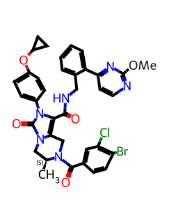 COc1nccc(-c2ccccc2CNC(=O)c2c3n(c(=O)n2-c2ccc(OC4CC4)cc2)C[C@H](C)N(C(=O)c2ccc(Br)c(Cl)c2)C3)n1